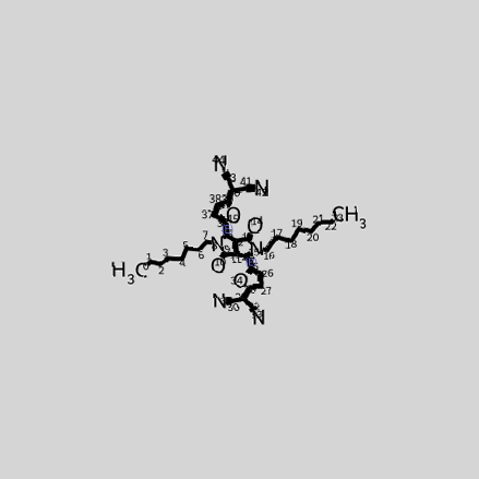 CCCCCCCCN1C(=O)C2=C(C(=O)N(CCCCCCCC)/C2=c2\ccc(=C(C#N)C#N)o2)/C1=c1/ccc(=C(C#N)C#N)o1